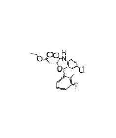 CCOC(=O)C[C@H]1O[C@H](c2cccc(F)c2C)c2cc(Cl)ccc2NC1=O